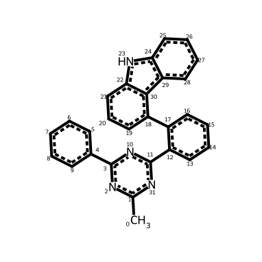 Cc1nc(-c2ccccc2)nc(-c2ccccc2-c2cccc3[nH]c4ccccc4c23)n1